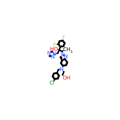 C[C@@H](n1cc2cc(N(CCO)Cc3ccc(Cl)cc3)ccc2n1)[C@](O)(Cn1cncn1)c1ccc(F)cc1F